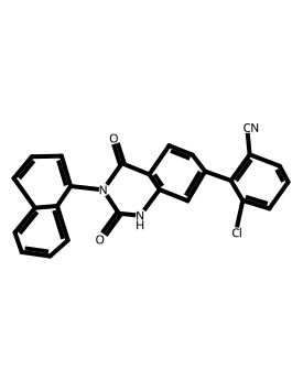 N#Cc1cccc(Cl)c1-c1ccc2c(=O)n(-c3cccc4ccccc34)c(=O)[nH]c2c1